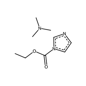 CCOC(=O)n1ccnc1.CN(C)C